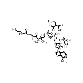 CC(C)(COP(=O)(O)OP(=O)(O)OC[C@H]1O[C@@H](n2cnc3c(N)ncnc32)[C@H](O)[C@@H]1OP(=O)(O)O)[C@@H](O)C(=O)NCCC(=O)NCCS.CCC(C(=O)O)C(=O)O